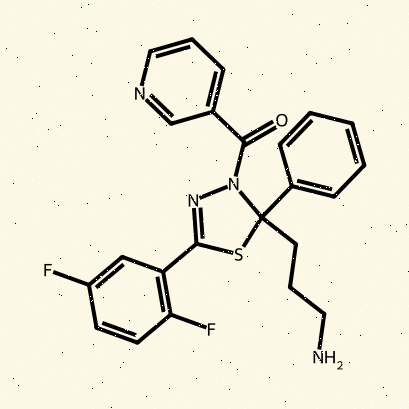 NCCCC1(c2ccccc2)SC(c2cc(F)ccc2F)=NN1C(=O)c1cccnc1